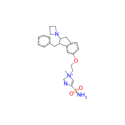 C[N+]1(CCOc2ccc3c(c2)C(Cc2ccccc2)C(N2CCC2)C3)C=NC(S(N)(=O)=O)=C1